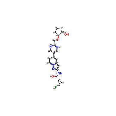 O=C(Nc1cc2cc(-c3cnc(CO[C@H]4CCC[C@@H]4O)nc3)ccn2n1)[C@@H]1C[C@H]1F